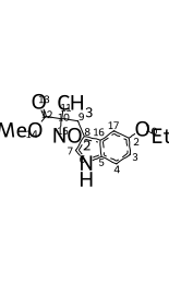 CCOc1ccc2[nH]cc(CC(C)(C(=O)OC)[N+](=O)[O-])c2c1